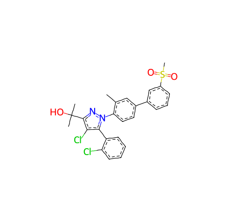 Cc1cc(-c2cccc(S(C)(=O)=O)c2)ccc1-n1nc(C(C)(C)O)c(Cl)c1-c1ccccc1Cl